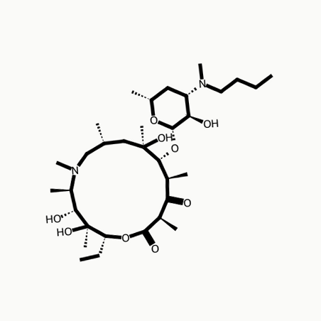 CCCCN(C)[C@H]1C[C@@H](C)O[C@@H](O[C@@H]2[C@@H](C)C(=O)[C@@H](C)C(=O)O[C@H](CC)[C@@](C)(O)[C@H](O)[C@@H](C)N(C)C[C@H](C)C[C@@]2(C)O)[C@@H]1O